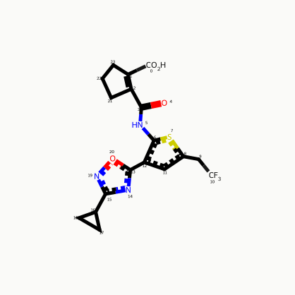 O=C(O)C1=C(C(=O)Nc2sc(CC(F)(F)F)cc2-c2nc(C3CC3)no2)CCC1